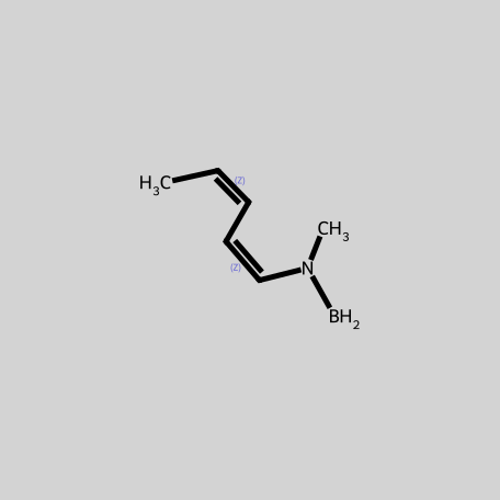 BN(C)/C=C\C=C/C